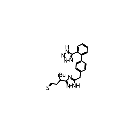 CCC(C)C(CC=S)c1n[nH]c(Cc2ccc(-c3ccccc3-c3nnn[nH]3)cc2)n1